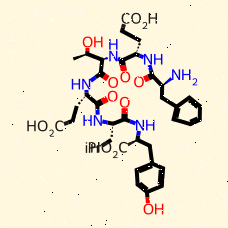 CC(C)C[C@H](NC(=O)[C@H](CCC(=O)O)NC(=O)[C@@H](NC(=O)[C@H](CCC(=O)O)NC(=O)[C@@H](N)Cc1ccccc1)[C@@H](C)O)C(=O)N[C@@H](Cc1ccc(O)cc1)C(=O)O